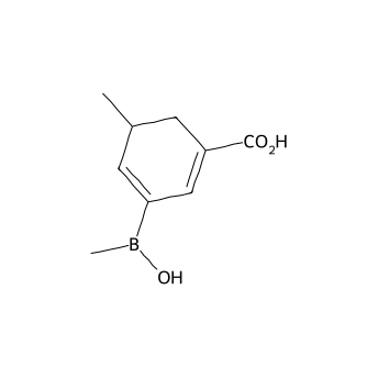 CB(O)C1=CC(C)CC(C(=O)O)=C1